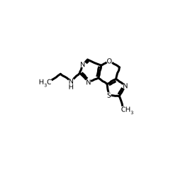 CCNc1ncc2c(n1)-c1sc(C)nc1CO2